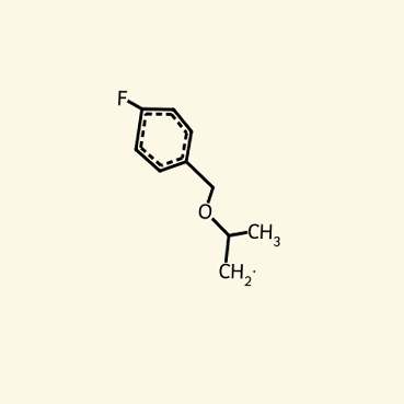 [CH2]C(C)OCc1ccc(F)cc1